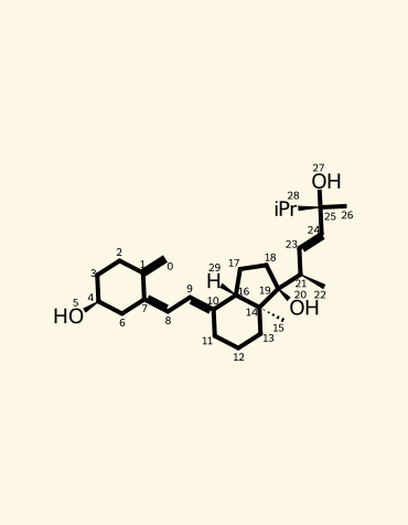 C=C1CC[C@H](O)C/C1=C/C=C1\CCC[C@@]2(C)[C@H]1CC[C@]2(O)[C@H](C)/C=C/[C@@](C)(O)C(C)C